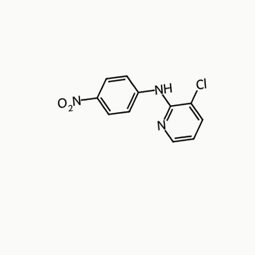 O=[N+]([O-])c1ccc(Nc2ncccc2Cl)cc1